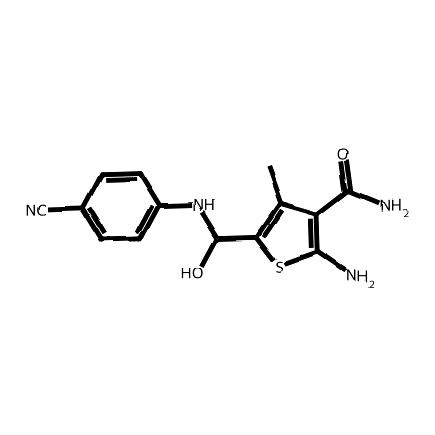 Cc1c(C(O)Nc2ccc(C#N)cc2)sc(N)c1C(N)=O